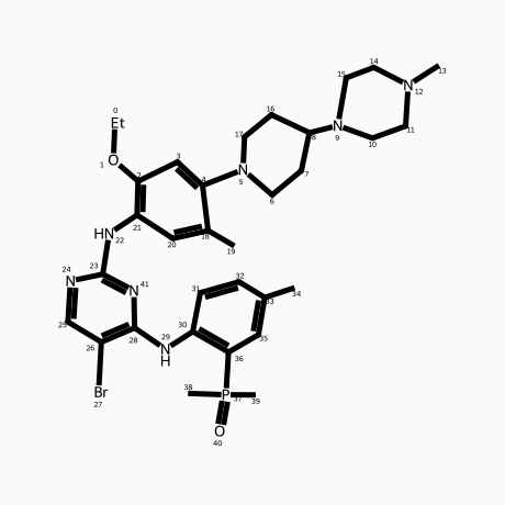 CCOc1cc(N2CCC(N3CCN(C)CC3)CC2)c(C)cc1Nc1ncc(Br)c(Nc2ccc(C)cc2P(C)(C)=O)n1